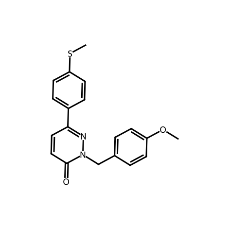 COc1ccc(Cn2nc(-c3ccc(SC)cc3)ccc2=O)cc1